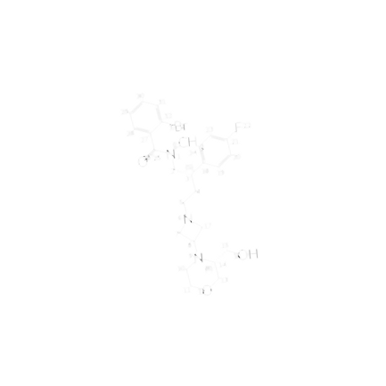 CN(C[C@@H](CCN1CC(N2CCOC[C@H]2CO)C1)c1ccc(F)cc1)C(=O)c1ccccc1Br